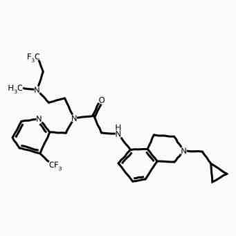 CN(CCN(Cc1ncccc1C(F)(F)F)C(=O)CNc1cccc2c1CCN(CC1CC1)C2)CC(F)(F)F